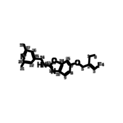 CC/C(=C\F)COc1ccc2nc(NCc3cc(C)nc(C)c3)oc2c1